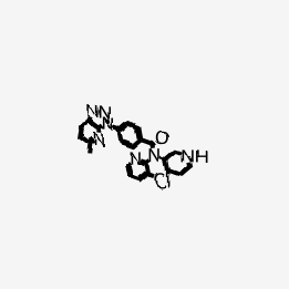 Cc1ccc2nnn(-c3ccc(C(=O)N(c4ncccc4Cl)[C@@H]4CCCNC4)cc3)c2n1